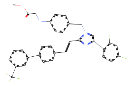 COC(=O)CNc1ccc(Cn2cc(-c3ccc(F)cc3F)nc2C=Cc2ccc(-c3cccc(C(F)(F)F)c3)cc2)cc1